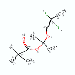 CCOC(=O)C(C)(OCC(F)(F)S(=O)(=O)O)OC(=O)C(C)(C)CC